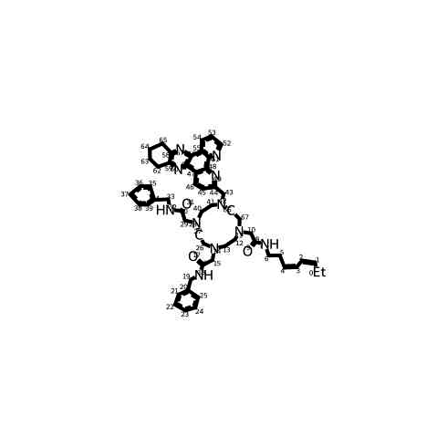 CC/C=C\C=C/CCNC(=O)CN1CCN(CC(=O)NCc2ccccc2)CCN(CC(=O)NCc2ccccc2)CCN(Cc2ccc3c(n2)c2ncccc2c2nc4c(nc32)CCCC4)CC1